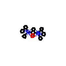 c1ccc(-c2nc(-c3ccccc3-c3ccccc3)nc(C34c5ccccc5C(c5nc(-c6ccccc6)nc(-c6ccccc6-c6ccccc6)n5)(c5ccccc53)c3ccccc34)n2)cc1